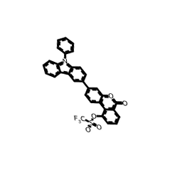 O=c1oc2cc(-c3ccc4c(c3)c3ccccc3n4-c3ccccc3)ccc2c2c(OS(=O)(=O)C(F)(F)F)cccc12